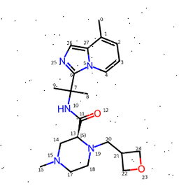 Cc1cccn2c(C(C)(C)NC(=O)[C@@H]3CN(C)CCN3CC3COC3)ncc12